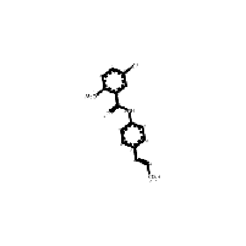 COc1ccc(Cl)cc1C(=O)Nc1ccc(/C=C/C(=O)O)cc1